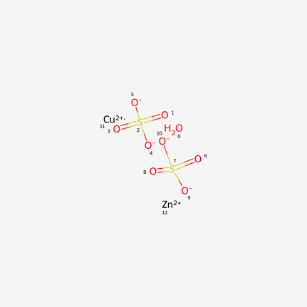 O.O=S(=O)([O-])[O-].O=S(=O)([O-])[O-].[Cu+2].[Zn+2]